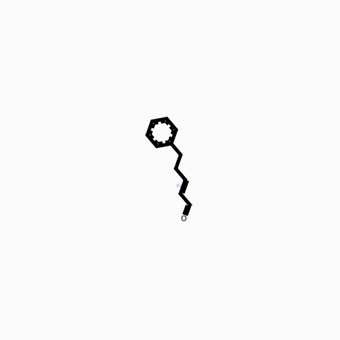 O=[C]/C=C/CCc1ccccc1